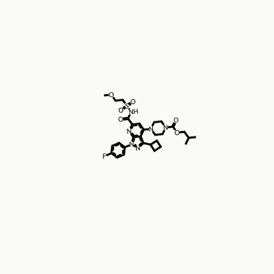 COCCS(=O)(=O)NC(=O)c1cc(N2CCN(C(=O)OCC(C)C)CC2)c2c(C3CCC3)nn(-c3ccc(F)cc3)c2n1